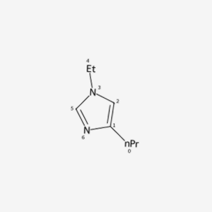 CCCc1cn(CC)cn1